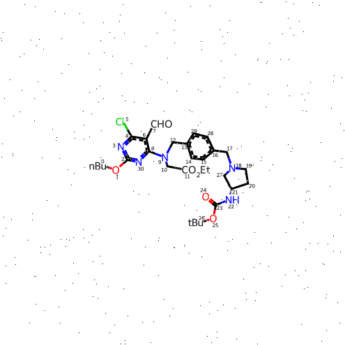 CCCCOc1nc(Cl)c(C=O)c(N(CC(=O)OCC)Cc2ccc(CN3CC[C@H](NC(=O)OC(C)(C)C)C3)cc2)n1